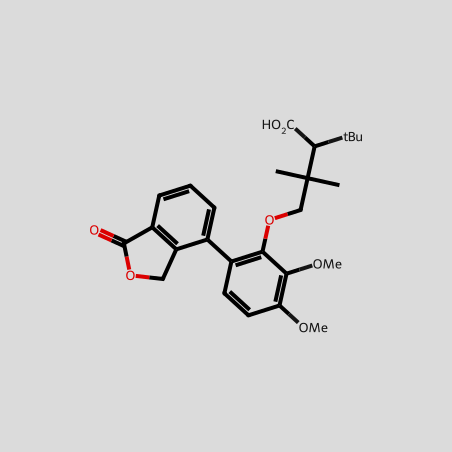 COc1ccc(-c2cccc3c2COC3=O)c(OCC(C)(C)C(C(=O)O)C(C)(C)C)c1OC